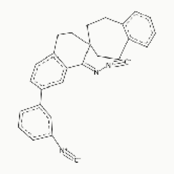 [C-]#[N+]/N=C1/c2cc(-c3cccc([N+]#[C-])c3)ccc2CCC12CCc1ccccc1CC2